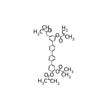 C=C(C)C(=O)Cc1cc(OC(=O)C(=C)C)cc(-c2ccc(-c3ccc(-c4ccc(OC(=O)C(=C)C)c(OC(=O)C(=C)C)c4)cc3)cc2)c1